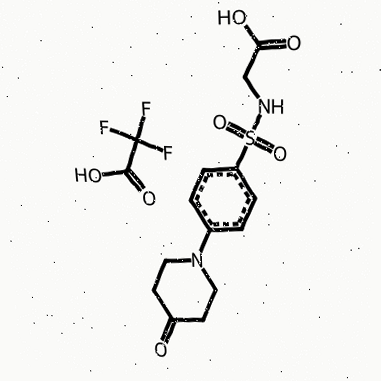 O=C(O)C(F)(F)F.O=C(O)CNS(=O)(=O)c1ccc(N2CCC(=O)CC2)cc1